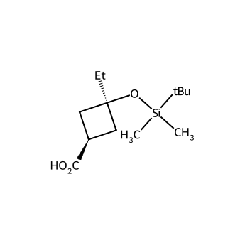 CC[C@]1(O[Si](C)(C)C(C)(C)C)C[C@@H](C(=O)O)C1